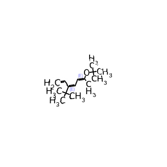 C=C/C(=C\C=C(/C)OC(C)(C)C)C(C)(C)C